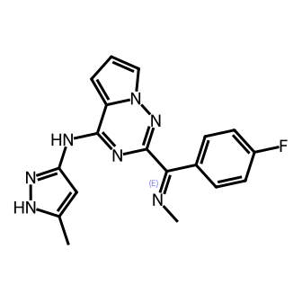 C/N=C(\c1ccc(F)cc1)c1nc(Nc2cc(C)[nH]n2)c2cccn2n1